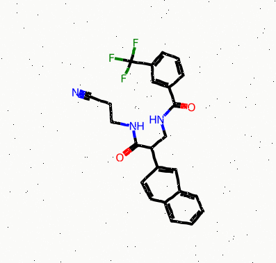 N#CCCNC(=O)C(CNC(=O)c1cccc(C(F)(F)F)c1)c1ccc2ccccc2c1